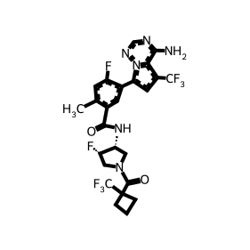 Cc1cc(F)c(-c2cc(C(F)(F)F)c3c(N)ncnn23)cc1C(=O)N[C@@H]1CN(C(=O)C2(C(F)(F)F)CCC2)C[C@@H]1F